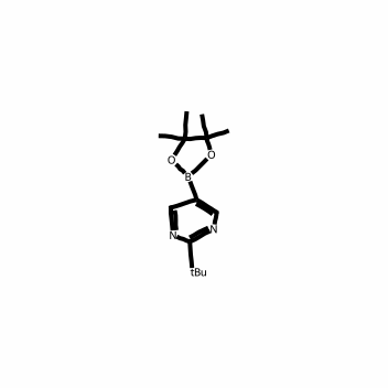 CC(C)(C)c1ncc(B2OC(C)(C)C(C)(C)O2)cn1